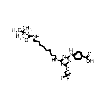 CC(C)(C)OC(=O)NCCCCCCCCNc1nc(Nc2ccc(C(=O)O)cc2)nc(OCC(F)(F)F)n1